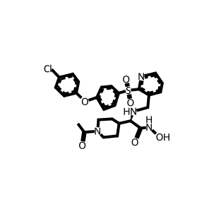 CC(=O)N1CCC([C@@H](NCc2cccnc2S(=O)(=O)c2ccc(Oc3ccc(Cl)cc3)cc2)C(=O)NO)CC1